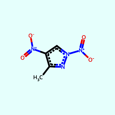 Cc1nn([N+](=O)[O-])cc1[N+](=O)[O-]